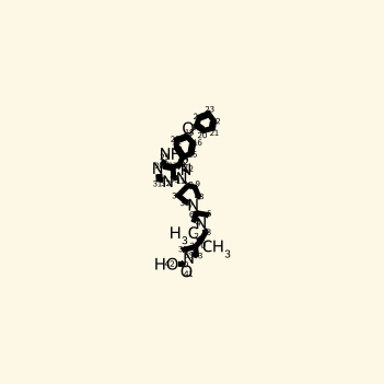 CC(C)(CN1CC(N2CCC(n3nc(-c4ccc(Oc5ccccc5)cc4)c4c(N)ncnc43)CC2)C1)C1CN(C(=O)O)C1